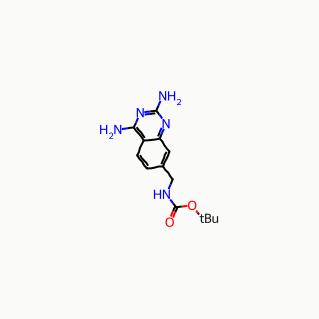 CC(C)(C)OC(=O)NCc1ccc2c(N)nc(N)nc2c1